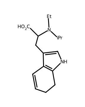 CCN(C(C)C)C(Cc1c[nH]c2c1C=CCC2)C(=O)O